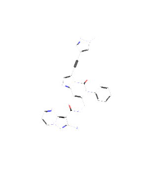 C[C@H](NC(=O)c1c(N)nn2cccnc12)c1cc2ncc(C#Cc3cnn(C)c3)n2c(=O)n1-c1ccccc1